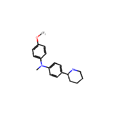 CN(c1ccc(OC(F)(F)F)cc1)c1ccc(C2CCCC[N]2)cc1